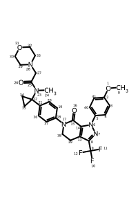 COc1ccc(-n2nc(C(F)(F)F)c3c2C(=O)N(c2ccc(C4(N(C)C(=O)CN5CCOCC5)CC4)cc2)CC3)cc1